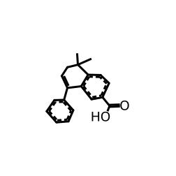 CC1(C)CC=C(c2ccccc2)c2cc(C(=O)O)ccc21